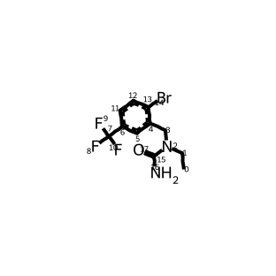 CCN(Cc1cc(C(F)(F)F)ccc1Br)C(N)=O